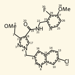 COCc1nn(Cc2cnc3cc(Cl)ccc3c2)cc1C(=O)NCc1cccc(OC)c1F